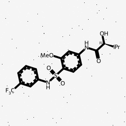 COc1cc(NC(=O)[C@@H](O)C(C)C)ccc1S(=O)(=O)Nc1cccc(C(F)(F)F)c1